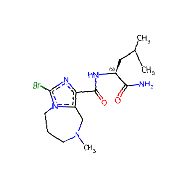 CC(C)C[C@H](NC(=O)c1nc(Br)n2c1CN(C)CCC2)C(N)=O